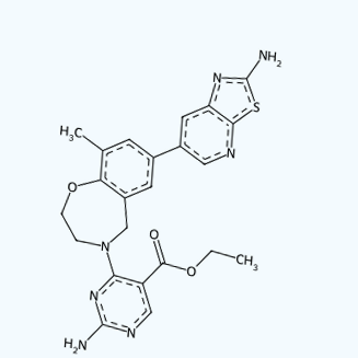 CCOC(=O)c1cnc(N)nc1N1CCOc2c(C)cc(-c3cnc4sc(N)nc4c3)cc2C1